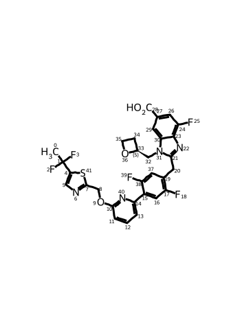 CC(F)(F)c1cnc(COc2cccc(-c3cc(F)c(Cc4nc5c(F)cc(C(=O)O)cc5n4C[C@@H]4CCO4)cc3F)n2)s1